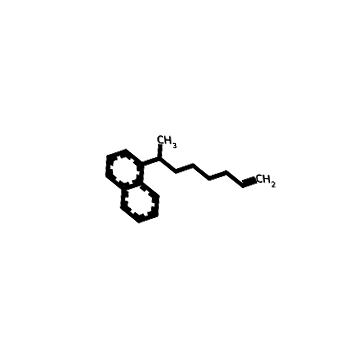 C=CCCCCC(C)c1cccc2ccccc12